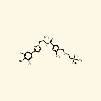 C[C@@H](Cn1ccc(-c2cc(F)c(C#N)c(Cl)c2)n1)NC(=O)c1cn(COCC[Si](C)(C)C)c(C(F)(F)F)n1